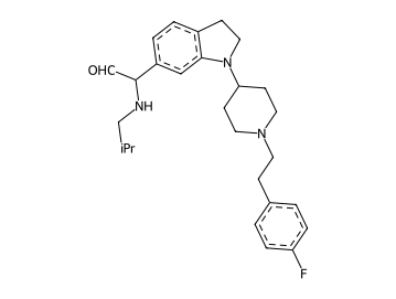 CC(C)CNC(C=O)c1ccc2c(c1)N(C1CCN(CCc3ccc(F)cc3)CC1)CC2